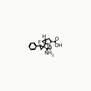 NC(=O)[C@@]1([C@]23C[C@@H]2C[C@@H](C(=O)O)N3)C[C@]1(F)c1ccccc1